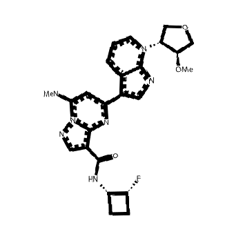 CNc1cc(-c2cnc3n([C@@H]4COC[C@H]4OC)cccc2-3)nc2c(C(=O)N[C@H]3CC[C@H]3F)cnn12